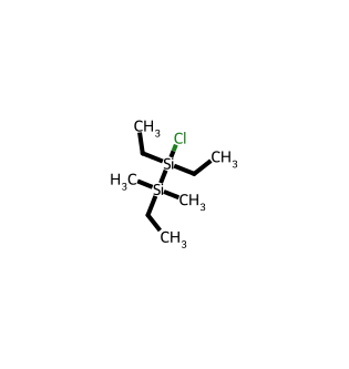 CC[Si](C)(C)[Si](Cl)(CC)CC